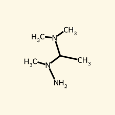 CC(N(C)C)N(C)N